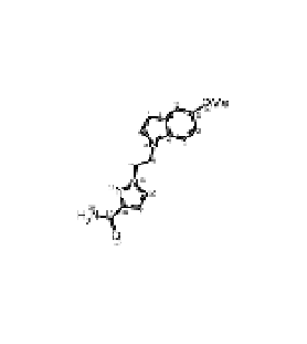 COc1ccc2c(ccn2CCn2c[c]c(C(N)=O)n2)c1